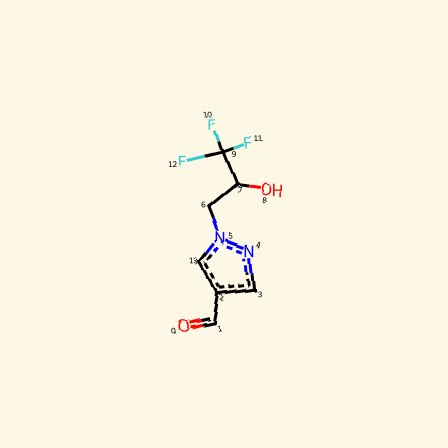 O=Cc1cnn(CC(O)C(F)(F)F)c1